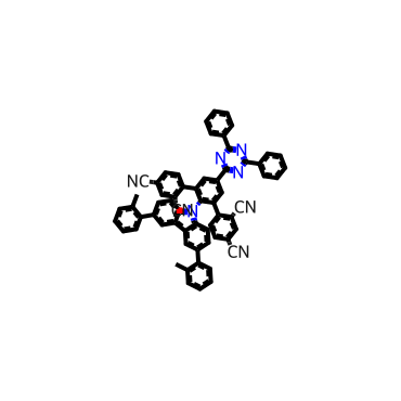 Cc1ccccc1-c1ccc2c(c1)c1cc(-c3ccccc3C)ccc1n2-c1c(-c2ccc(C#N)cc2C#N)cc(-c2nc(-c3ccccc3)nc(-c3ccccc3)n2)cc1-c1ccc(C#N)cc1C#N